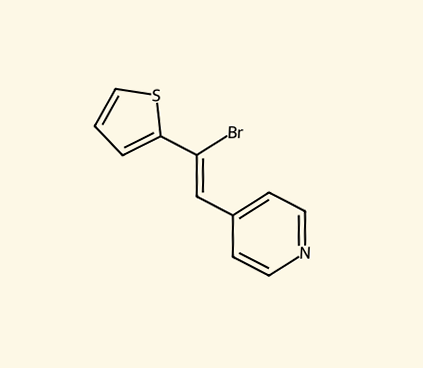 BrC(=Cc1ccncc1)c1cccs1